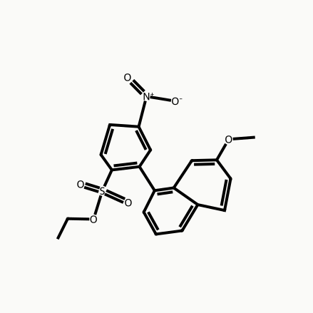 CCOS(=O)(=O)c1ccc([N+](=O)[O-])cc1-c1cccc2ccc(OC)cc12